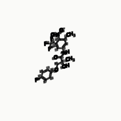 Cc1cc(NC(=O)[C@@](C)(O)COc2ccc(F)cc2)cc(C(F)(F)F)c1[N+](=O)[O-]